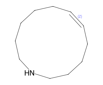 C1=C\CCCCNCCCCC/1